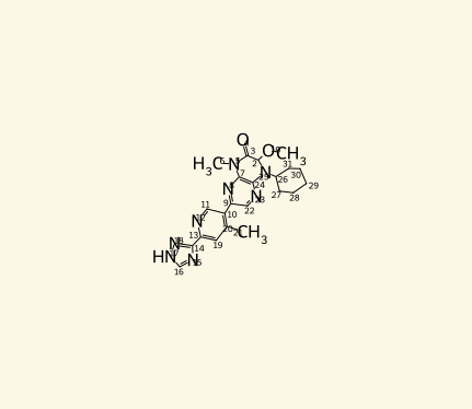 COC1C(=O)N(C)c2nc(-c3cnc(-c4nc[nH]n4)cc3C)cnc2N1C1CCCCC1